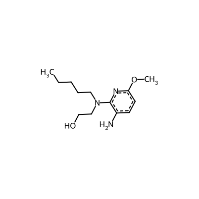 CCCCCN(CCO)c1nc(OC)ccc1N